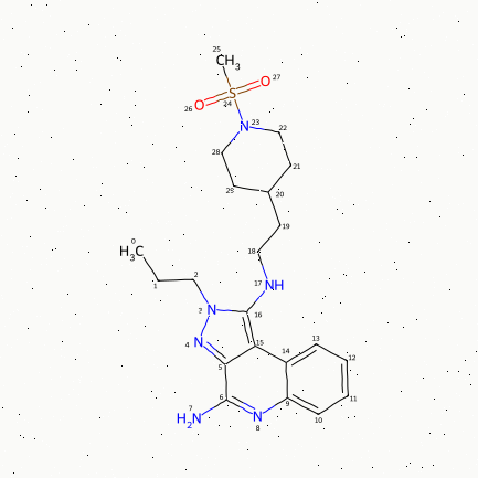 CCCn1nc2c(N)nc3ccccc3c2c1NCCC1CCN(S(C)(=O)=O)CC1